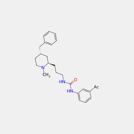 CC(=O)c1cccc(NC(=O)NCCC[C@@H]2C[C@@H](Cc3ccccc3)CCN2C)c1